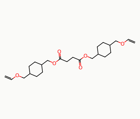 C=COCC1CCC(COC(=O)CCC(=O)OCC2CCC(COC=C)CC2)CC1